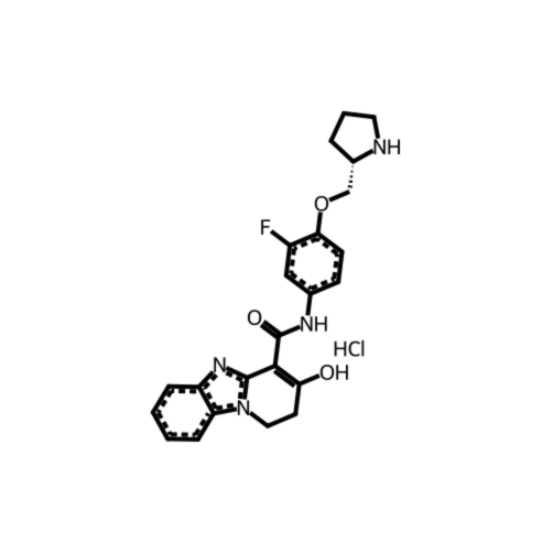 Cl.O=C(Nc1ccc(OC[C@@H]2CCCN2)c(F)c1)C1=C(O)CCn2c1nc1ccccc12